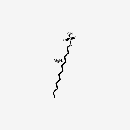 CCCCCCCCCCCCOS(=O)(=O)O.[MgH2]